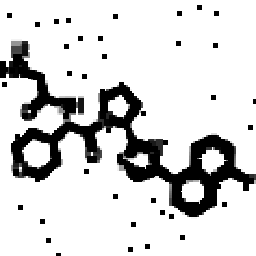 CCNCC(=O)N[C@H](C(=O)N1CCC[C@H]1c1nc(-c2cccc3c(F)cccc23)cs1)C1CCOCC1